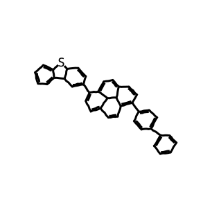 C1=CC2Sc3ccccc3C2C=C1C1=CC=C2C=CC3=C(c4ccc(-c5ccccc5)cc4)C=CC4=CC=C1C2C43